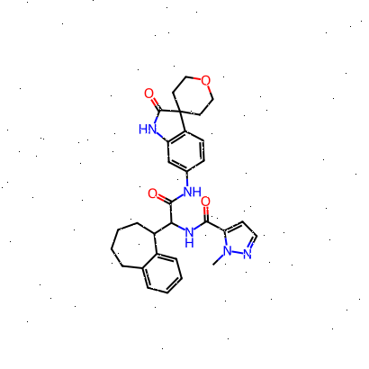 Cn1nccc1C(=O)NC(C(=O)Nc1ccc2c(c1)NC(=O)C21CCOCC1)C1CCCCc2ccccc21